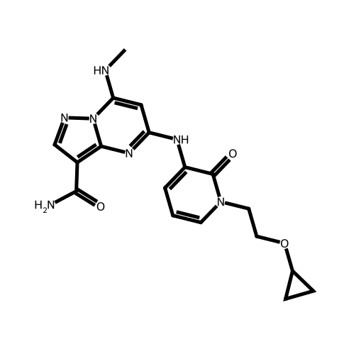 CNc1cc(Nc2cccn(CCOC3CC3)c2=O)nc2c(C(N)=O)cnn12